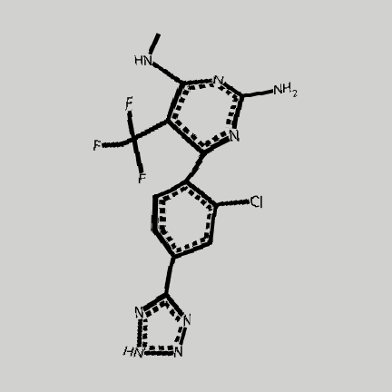 CNc1nc(N)nc(-c2ccc(-c3nn[nH]n3)cc2Cl)c1C(F)(F)F